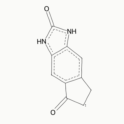 O=C1[C]Cc2cc3[nH]c(=O)[nH]c3cc21